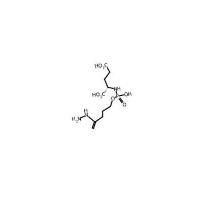 C=C(CCCOP(=O)(O)N[C@@H](CCC(=O)O)C(=O)O)NN